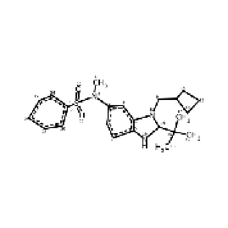 CN(c1ccc2c(c1)N(CC1CCC1)C(C(C)(C)C)N2)S(=O)(=O)c1ccccc1